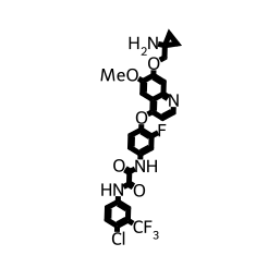 COc1cc2c(Oc3ccc(NC(=O)C(=O)Nc4ccc(Cl)c(C(F)(F)F)c4)cc3F)ccnc2cc1OCC1(N)CC1